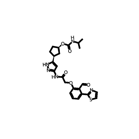 CC(C)NC(=O)O[C@@H]1CC[C@H](c2cc(NC(=O)COc3cccc(-c4nccs4)c3C=O)n[nH]2)C1